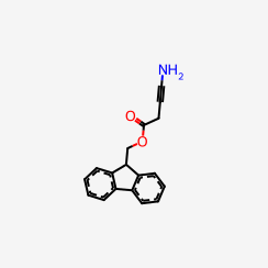 NC#CCC(=O)OCC1c2ccccc2-c2ccccc21